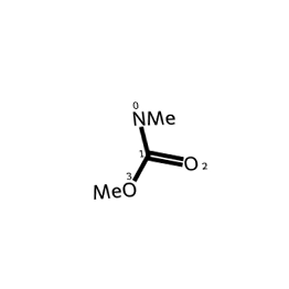 [CH]NC(=O)OC